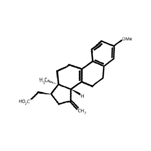 C=C1C[C@@H](CC(=O)O)[C@@]2(C)CCC3=C(CCc4cc(OC)ccc43)[C@H]12